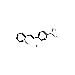 CN(C)c1ccc(/C=C/c2cccc[n+]2C)cc1.[I-]